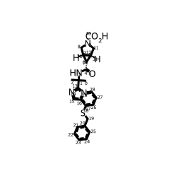 CC(C)(NC(=O)[C@@H]1[C@@H]2CN(C(=O)O)C[C@@H]21)c1ncc2c(SCc3ccccc3)cccn12